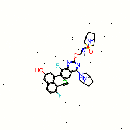 C#Cc1c(F)ccc2cc(O)cc(-c3c(Cl)cc4c(N5CC6CCC(C5)N6)nc(OCCCN5C6CCC5CS(=O)(=NC)C6)nc4c3F)c12